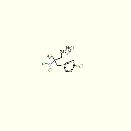 CC(Cc1ccc(Cl)cc1)(CS(=O)(=O)O)N(Cl)Cl.[NaH]